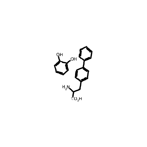 NC(Cc1ccc(-c2ccccc2)cc1)C(=O)O.Oc1ccccc1O